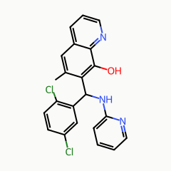 Cc1cc2cccnc2c(O)c1C(Nc1ccccn1)c1cc(Cl)ccc1Cl